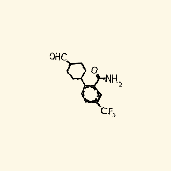 NC(=O)c1cc(C(F)(F)F)ccc1C1CCC(C=O)CC1